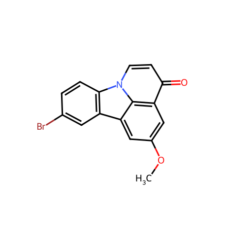 COc1cc2c(=O)ccn3c4ccc(Br)cc4c(c1)c23